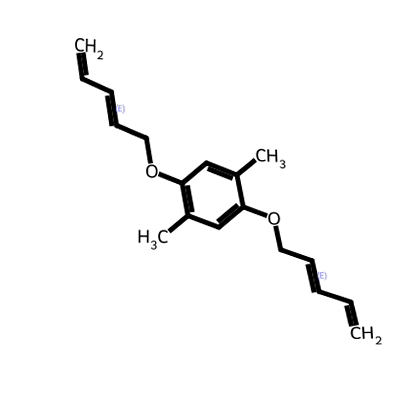 C=C/C=C/COc1cc(C)c(OC/C=C/C=C)cc1C